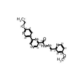 CCOc1ccc(-c2cncc(C(=O)N/N=C/c3cc(OC)ccn3)n2)cn1